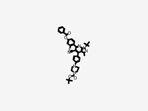 Cc1nn(C(C)(C)C)c2nc(-c3ccc(OC(=O)c4ccccc4)cc3F)c(C#N)c(-c3ccc(N4CCN(C(=O)OC(C)(C)C)CC4)cc3)c12